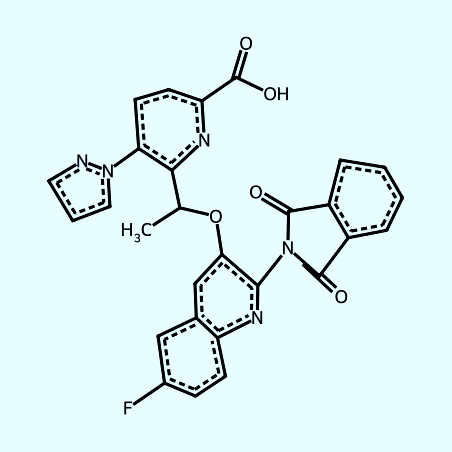 CC(Oc1cc2cc(F)ccc2nc1N1C(=O)c2ccccc2C1=O)c1nc(C(=O)O)ccc1-n1cccn1